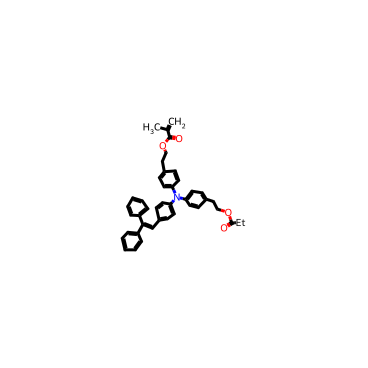 C=C(C)C(=O)OCCc1ccc(N(c2ccc(C=C(c3ccccc3)c3ccccc3)cc2)c2ccc(CCOC(=O)CC)cc2)cc1